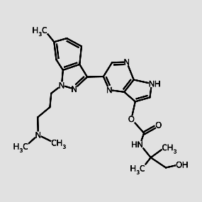 Cc1ccc2c(-c3cnc4[nH]cc(OC(=O)NC(C)(C)CO)c4n3)nn(CCCN(C)C)c2c1